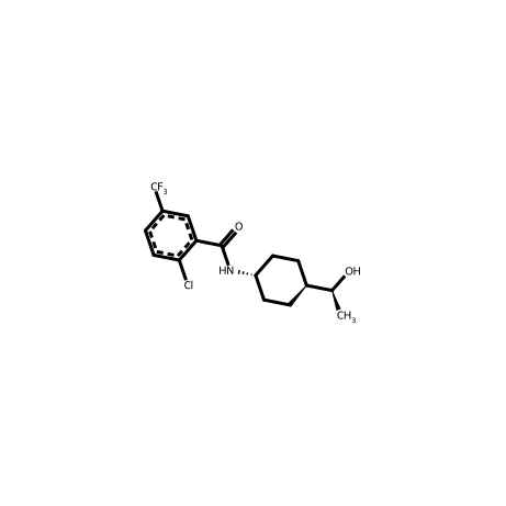 C[C@H](O)[C@H]1CC[C@H](NC(=O)c2cc(C(F)(F)F)ccc2Cl)CC1